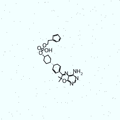 CC1(C)Oc2ncnc(N)c2N=C1C1=CCC([C@H]2CC[C@H](OP(=O)(O)OCCc3ccccc3)CC2)C=C1